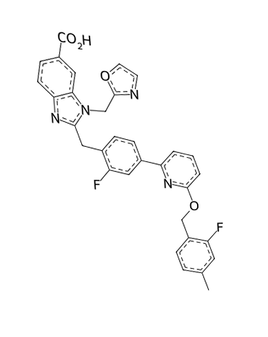 Cc1ccc(COc2cccc(-c3ccc(Cc4nc5ccc(C(=O)O)cc5n4Cc4ncco4)c(F)c3)n2)c(F)c1